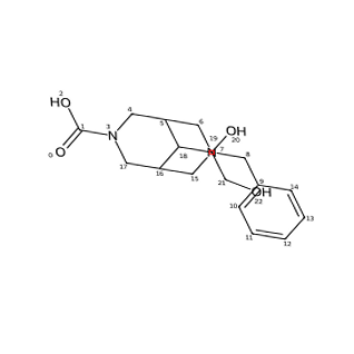 O=C(O)N1CC2CN(Cc3ccccc3)CC(C1)C2C(O)CO